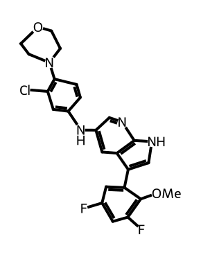 COc1c(F)cc(F)cc1-c1c[nH]c2ncc(Nc3ccc(N4CCOCC4)c(Cl)c3)cc12